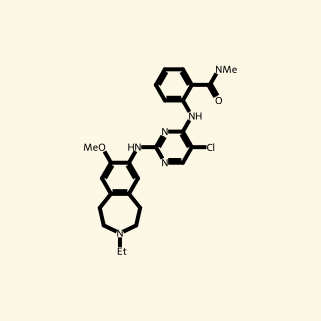 CCN1CCc2cc(Nc3ncc(Cl)c(Nc4ccccc4C(=O)NC)n3)c(OC)cc2CC1